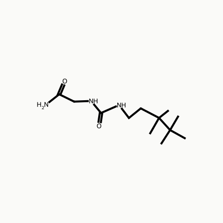 CC(C)(C)C(C)(C)CCNC(=O)NCC(N)=O